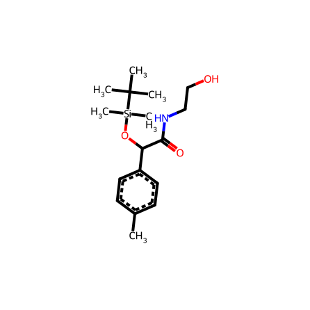 Cc1ccc(C(O[Si](C)(C)C(C)(C)C)C(=O)NCCO)cc1